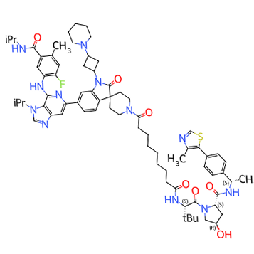 Cc1cc(F)c(Nc2nc(-c3ccc4c(c3)N(C3CC(N5CCCCC5)C3)C(=O)C43CCN(C(=O)CCCCCCCC(=O)N[C@H](C(=O)N4C[C@H](O)C[C@H]4C(=O)N[C@@H](C)c4ccc(-c5scnc5C)cc4)C(C)(C)C)CC3)cc3ncn(C(C)C)c23)cc1C(=O)NC(C)C